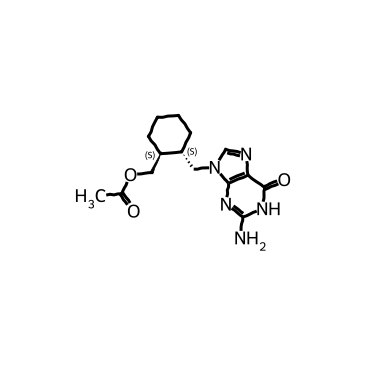 CC(=O)OC[C@H]1CCCC[C@@H]1Cn1cnc2c(=O)[nH]c(N)nc21